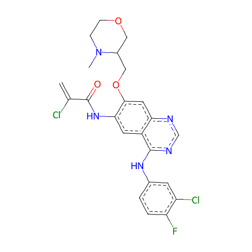 C=C(Cl)C(=O)Nc1cc2c(Nc3ccc(F)c(Cl)c3)ncnc2cc1OCC1COCCN1C